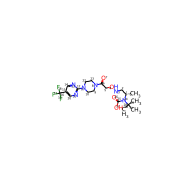 C[C@@H](CNOCC(=O)N1CCN(c2ncc(C(F)(F)F)cn2)CC1)N(C(=O)O)C(C)(C)C